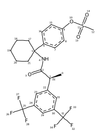 C[C@H](C(=O)NC1(c2ccc(OS(C)(=O)=O)cc2)CCCCC1)c1cc(C(F)(F)F)cc(C(F)(F)F)c1